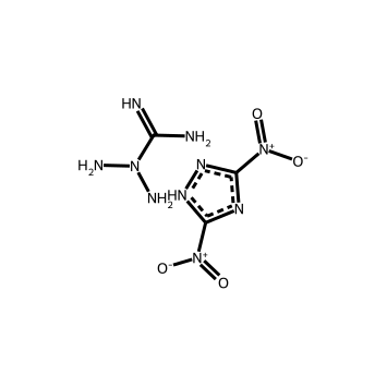 N=C(N)N(N)N.O=[N+]([O-])c1n[nH]c([N+](=O)[O-])n1